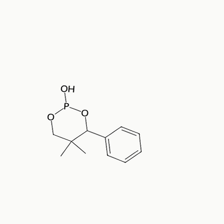 CC1(C)COP(O)OC1c1ccccc1